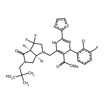 COC(=O)C1=C(CN2CC(F)(F)[C@@H]3C(=O)N(CC(C)(C)C(=O)O)C[C@@H]32)NC(c2nccs2)=NC1c1cccc(F)c1Cl